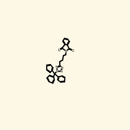 O=C1c2ccccc2C(=O)N1CCCCc1nnn(C(c2ccccc2)(c2ccccc2)c2ccccc2)n1